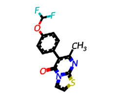 Cc1nc2sccn2c(=O)c1-c1ccc(OC(F)F)cc1